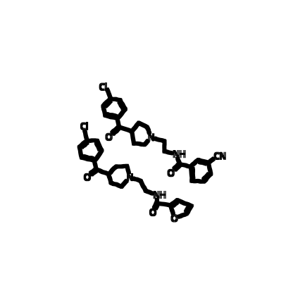 N#Cc1cccc(C(=O)NCCN2CCC(C(=O)c3ccc(Cl)cc3)CC2)c1.O=C(NCCN1CCC(C(=O)c2ccc(Cl)cc2)CC1)c1ccco1